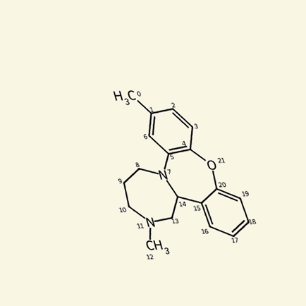 Cc1ccc2c(c1)N1CCCN(C)CC1c1ccccc1O2